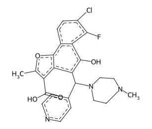 Cc1oc2c(c1C(=O)O)c(C(c1ccncc1)N1CCN(C)CC1)c(O)c1c(F)c(Cl)ccc12